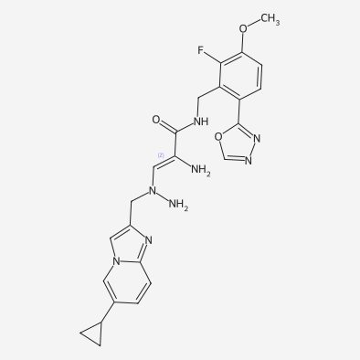 COc1ccc(-c2nnco2)c(CNC(=O)/C(N)=C/N(N)Cc2cn3cc(C4CC4)ccc3n2)c1F